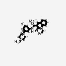 COc1c(C(=O)Nc2cc(F)cc(N3CCN(C)CC3)c2)c(=O)n(CC(C)C)c2ccccc12